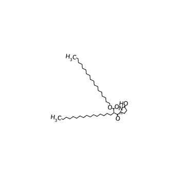 CCCCCCCCCCCCCCCCCCOC(=O)C(CCCCCCCCCCCCCCCC)C(=O)[C@@H]1CCC(=O)N1